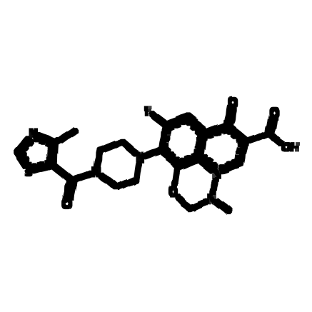 Cc1ncsc1C(=O)N1CCN(c2c(F)cc3c(=O)c(C(=O)O)cn4c3c2OCN4C)CC1